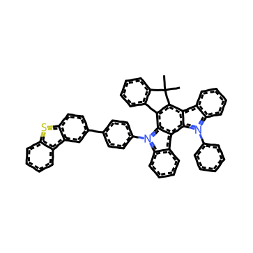 CC1(C)c2ccccc2-c2c1c1c3ccccc3n(-c3ccccc3)c1c1c3ccccc3n(-c3ccc(-c4ccc5sc6ccccc6c5c4)cc3)c21